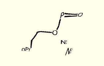 CCCCOP=O.[N].[N]